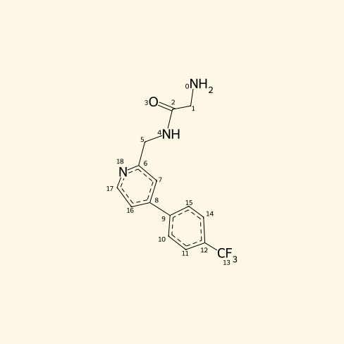 NCC(=O)NCc1cc(-c2ccc(C(F)(F)F)cc2)ccn1